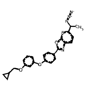 CC(N=[N+]=[N-])c1ccc2nc(-c3ccc(Oc4cccc(OCC5CC5)c4)cc3)oc2n1